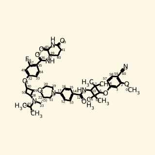 COc1cc(OC2C(C)(C)C(NC(=O)c3ccc(N4CCO[C@@H](CN(C(C)C)C5CC(Oc6ccc(C(=O)N[C@H]7CCC(=O)NC7=O)c(F)c6)C5)C4)cc3)C2(C)C)ccc1C#N